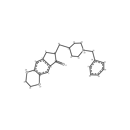 O=C1c2cc3c(cc2CC1CC1CCN(Cc2ccccc2)CC1)OCCO3